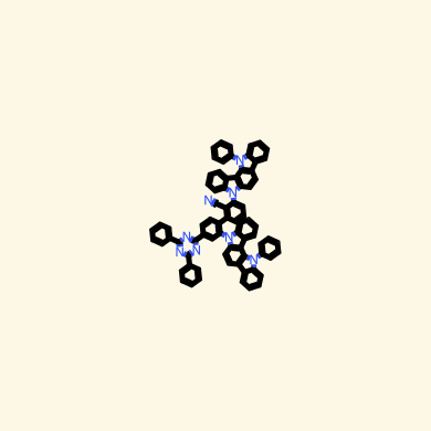 N#Cc1c(-c2ccc(-c3nc(-c4ccccc4)nc(-c4ccccc4)n3)cc2-n2c3ccccc3c3c2ccc2c4ccccc4n(-c4ccccc4)c23)cccc1-n1c2ccccc2c2c1ccc1c3ccccc3n(-c3ccccc3)c12